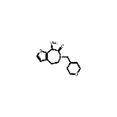 CNC1C(=O)N(CC2CCOCC2)CCc2ccoc21